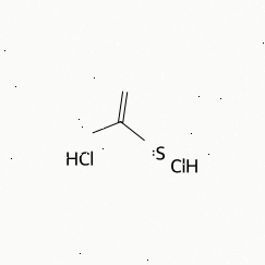 C=C(C)C.Cl.Cl.[S]